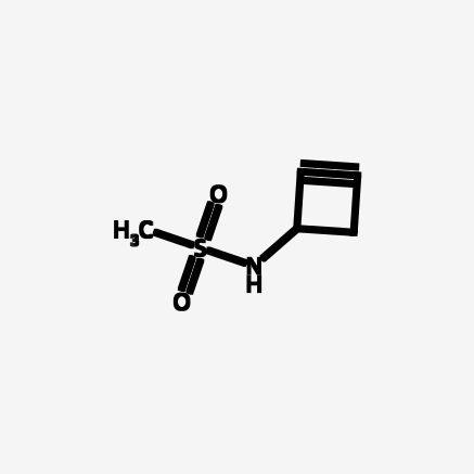 CS(=O)(=O)NC1C#CC1